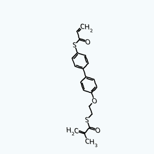 C=CC(=O)Sc1ccc(-c2ccc(OCCSC(=O)C(=C)C)cc2)cc1